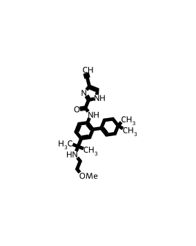 C#Cc1c[nH]c(C(=O)Nc2ccc(C(C)(C)NCCOC)cc2C2=CCC(C)(C)CC2)n1